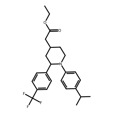 CCOC(=O)CC1CCN(c2ccc(C(C)C)cc2)C(c2ccc(C(F)(F)F)cc2)C1